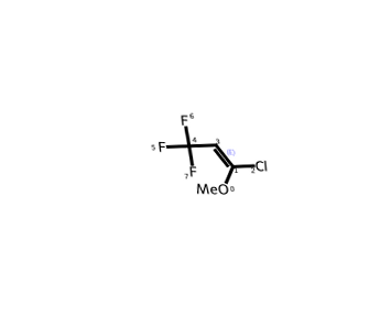 CO/C(Cl)=C\C(F)(F)F